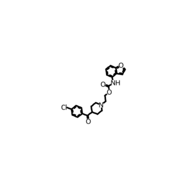 O=C(Nc1cccc2occc12)OCCN1CCC(C(=O)c2ccc(Cl)cc2)CC1